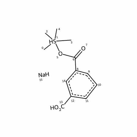 C[SH](C)(C)(C)OC(=O)c1cccc(C(=O)O)c1.[NaH]